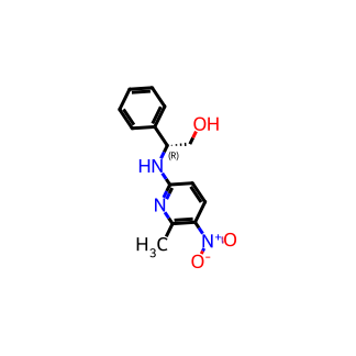 Cc1nc(N[C@@H](CO)c2ccccc2)ccc1[N+](=O)[O-]